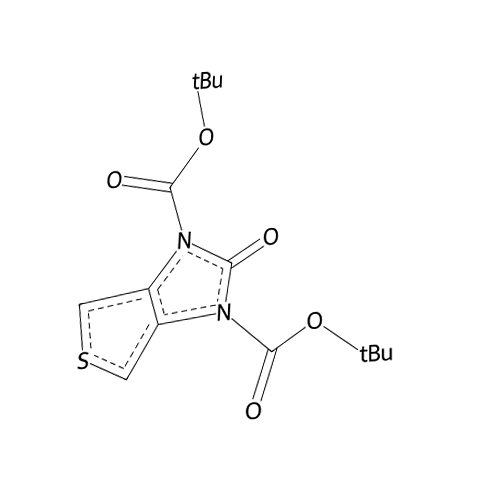 CC(C)(C)OC(=O)n1c(=O)n(C(=O)OC(C)(C)C)c2cscc21